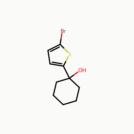 OC1(c2ccc(Br)s2)CCCCC1